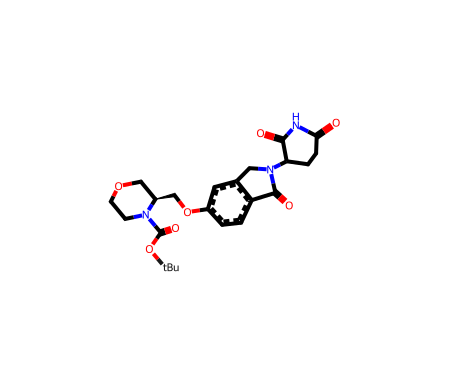 CC(C)(C)OC(=O)N1CCOC[C@H]1COc1ccc2c(c1)CN(C1CCC(=O)NC1=O)C2=O